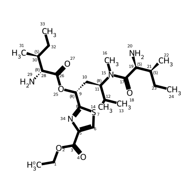 CCOC(=O)c1csc([C@@H](C[C@H](C(C)C)N(C)C(=O)[C@@H](N)[C@@H](C)CC)OC(=O)[C@H](N)[C@@H](C)CC)n1